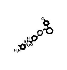 Cc1cc(S(=O)(=O)NC(=O)c2ccc(N3CCN(CC4=C(c5ccc(Cl)cc5)CCCCC4)CC3)cc2)ccc1N